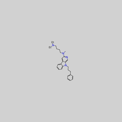 CCN(CC)CCCCN(C)c1cc2c3ccccc3n(CCCc3ccccc3)c2cn1